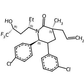 C=CC[C@@]1(C)CC(c2cccc(Cl)c2)[C@@H](c2ccc(Cl)cc2)N([C@@H](CC)C[C@@H](O)C(F)(F)F)C1=O